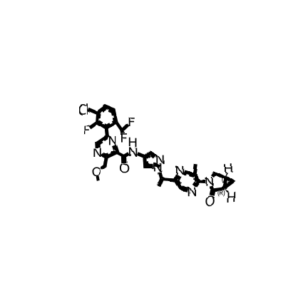 COCc1ncc(-c2c(C(F)F)ccc(Cl)c2F)nc1C(=O)Nc1cnn(C(C)c2cnc(N3C[C@H]4C[C@H]4C3=O)c(C)n2)c1